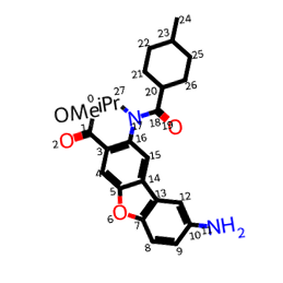 COC(=O)c1cc2oc3ccc(N)cc3c2cc1N(C(=O)C1CCC(C)CC1)C(C)C